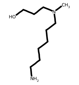 CN(CCCO)CCCCCCN